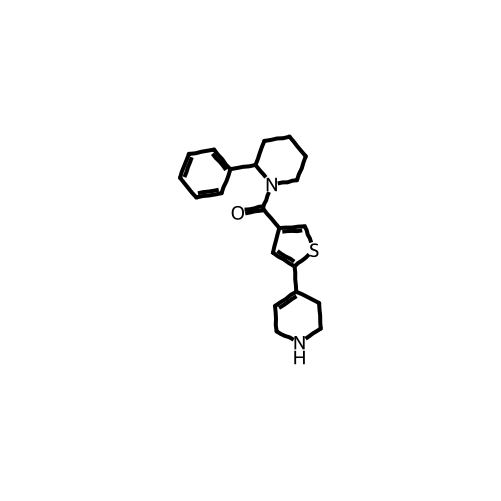 O=C(c1csc(C2=CCNCC2)c1)N1CCCCC1c1ccccc1